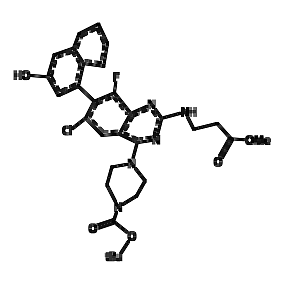 COC(=O)CCNc1nc(N2CCN(C(=O)OC(C)(C)C)CC2)c2cc(Cl)c(-c3cc(O)cc4ccccc34)c(F)c2n1